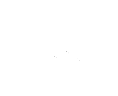 CNn1cc(C)c(C)n1